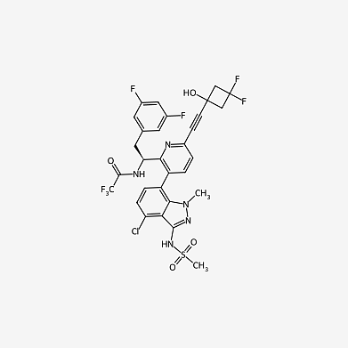 Cn1nc(NS(C)(=O)=O)c2c(Cl)ccc(-c3ccc(C#CC4(O)CC(F)(F)C4)nc3[C@H](Cc3cc(F)cc(F)c3)NC(=O)C(F)(F)F)c21